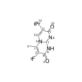 Cc1c(F)c(=O)[nH]c2nc(=O)c(C(C)C)cn12